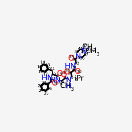 CC(C)[C@H](NC(=O)[C@H](C)NC(=O)[C@H](Cc1ccccc1)NC(=O)c1ccccc1)C(=O)C(=O)NCC(=O)N1CC[N+](C)(C)CC1